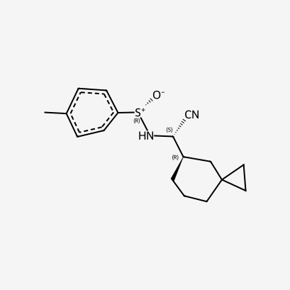 Cc1ccc([S@+]([O-])N[C@H](C#N)[C@@H]2CCCC3(CC3)C2)cc1